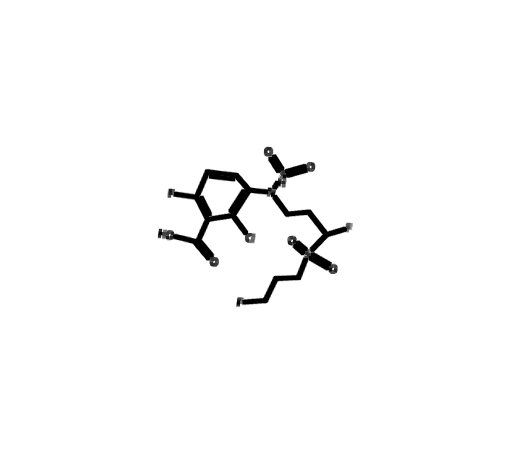 O=C(O)c1c(F)ccc(N(CCC(F)S(=O)(=O)CCCF)[SH](=O)=O)c1Cl